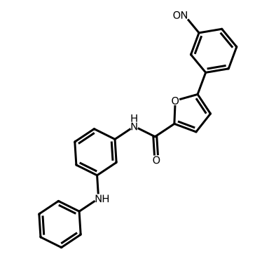 O=Nc1cccc(-c2ccc(C(=O)Nc3cccc(Nc4ccccc4)c3)o2)c1